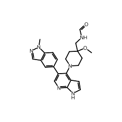 COC1(CNC=O)CCN(c2c(-c3ccc4c(cnn4C)c3)cnc3[nH]ccc23)CC1